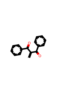 [CH]=C(C(=O)c1ccccc1)C(=O)c1ccccc1